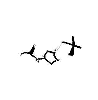 CC(C)(C)C[C@H]1C[C@H](NC(=O)O)CN1